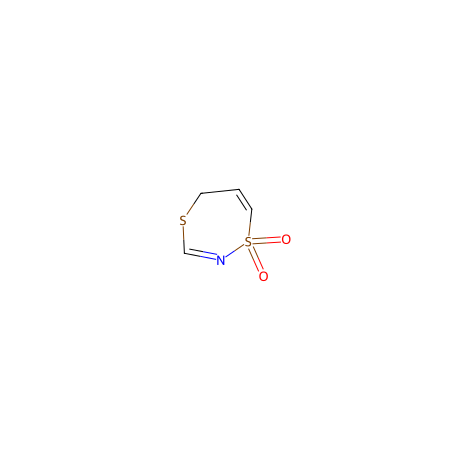 O=S1(=O)C=CCSC=N1